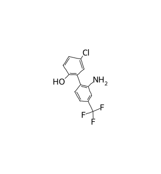 Nc1cc(C(F)(F)F)ccc1-c1cc(Cl)ccc1O